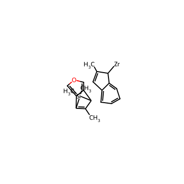 CC1=C2c3cocc3C1[Si]2(C)C.CC1=Cc2ccccc2[CH]1[Zr]